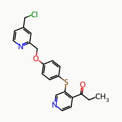 CCC(=O)c1ccncc1Sc1ccc(OCc2cc(CCl)ccn2)cc1